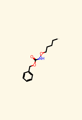 [CH2]CCCCONC(=O)OCc1ccccc1